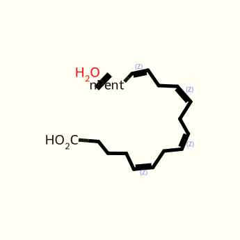 C=C.CCCCC/C=C\C/C=C\C/C=C\C/C=C\CCCC(=O)O.O